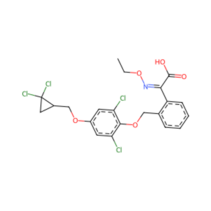 CCON=C(C(=O)O)c1ccccc1COc1c(Cl)cc(OCC2CC2(Cl)Cl)cc1Cl